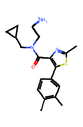 Cc1nc(C(=O)N(CCN)CC2CC2)c(-c2ccc(C)c(C)c2)s1